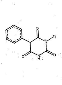 CCN1C(=O)NC(=O)C(c2ccccc2)C1=O